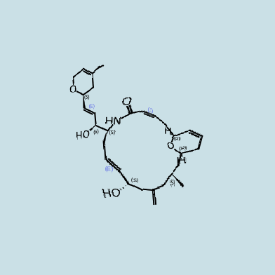 C=C1C[C@H](C)C[C@@H]2CC=C[C@@H](C/C=C\C(=O)N[C@H]([C@@H](O)/C=C/[C@@H]3CC(C)=CCO3)C/C=C/[C@@H](O)C1)O2